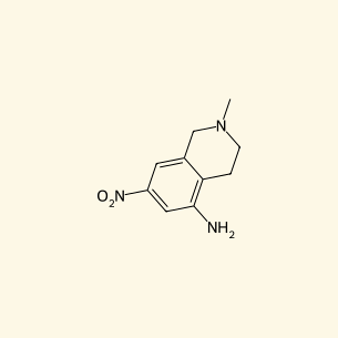 CN1CCc2c(N)cc([N+](=O)[O-])cc2C1